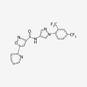 O=C(Nc1cnn(-c2ccc(C(F)(F)F)cc2C(F)(F)F)c1)c1cc(-c2ccccn2)on1